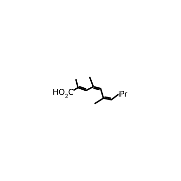 CC(=CC(C)=CC(C)C)C=C(C)C(=O)O